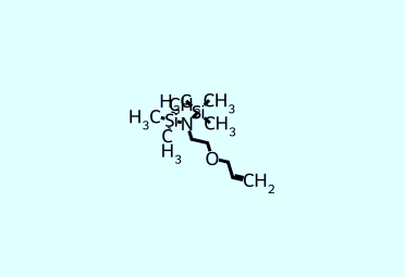 C=CCOCCN([Si](C)(C)C)[Si](C)(C)C